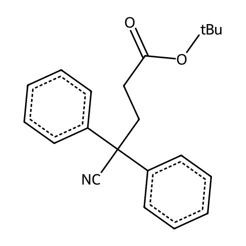 CC(C)(C)OC(=O)CCC(C#N)(c1ccccc1)c1ccccc1